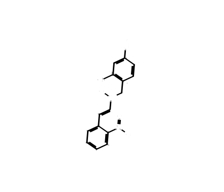 O=[N+]([O-])c1ccccc1/C=C/[S+]([O-])Cc1ccc(Cl)cc1Cl